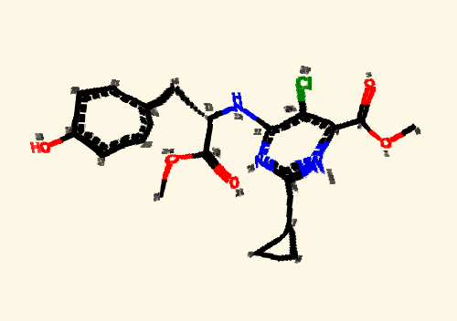 COC(=O)c1nc(C2CC2)nc(N[C@@H](Cc2ccc(O)cc2)C(=O)OC)c1Cl